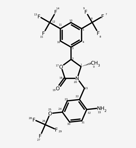 C[C@H]1C(c2cc(C(F)(F)F)cc(C(F)(F)F)c2)OC(=O)N1Cc1cc(OC(F)(F)F)ccc1N